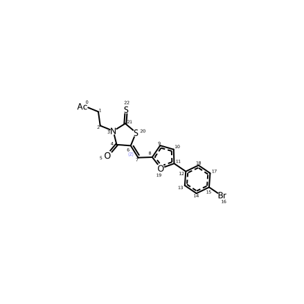 CC(=O)CCN1C(=O)/C(=C/c2ccc(-c3ccc(Br)cc3)o2)SC1=S